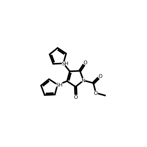 COC(=O)N1C(=O)C([SH]2C=CC=C2)=C([SH]2C=CC=C2)C1=O